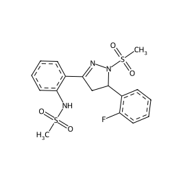 CS(=O)(=O)Nc1ccccc1C1=NN(S(C)(=O)=O)C(c2ccccc2F)C1